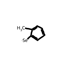 Cc1ccccc1[Se]